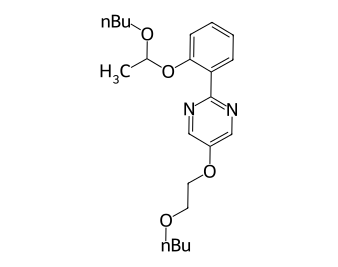 CCCCOCCOc1cnc(-c2ccccc2OC(C)OCCCC)nc1